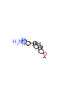 CC(C)O[C@H]1CC[C@@]2(C)C(=CC[C@H]3[C@@H]4CC[C@H](c5ccc6nc(N)ncc6c5)[C@@]4(C)CC[C@@H]32)C1